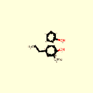 C=CCc1ccc(O)c(OC)c1.Oc1ccccc1